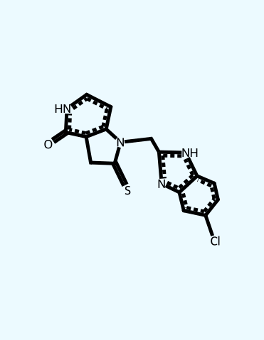 O=c1[nH]ccc2c1CC(=S)N2Cc1nc2cc(Cl)ccc2[nH]1